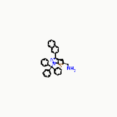 NCc1cc2c(-c3ccc4ccccc4c3)nn(C(c3ccccc3)(c3ccccc3)c3ccccc3)c2s1